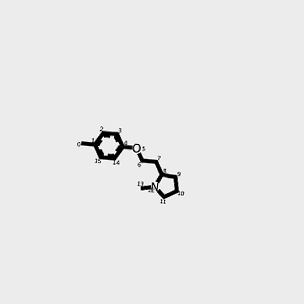 Cc1ccc(OCCC2CCCN2C)cc1